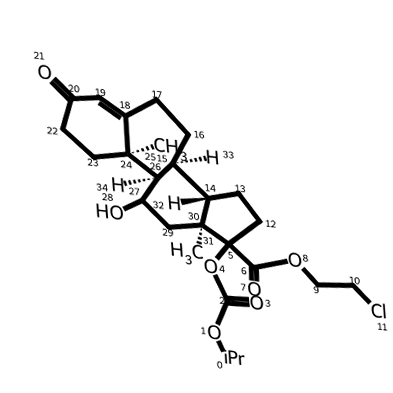 CC(C)OC(=O)OC1(C(=O)OCCCl)CC[C@H]2[C@@H]3CCC4=CC(=O)CC[C@]4(C)[C@@H]3C(O)C[C@@]21C